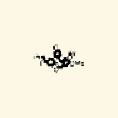 COc1cc2c(cc1OC(C)C)C(c1ccc(Cl)cc1)N(C1CCC(C(=O)CC(C)C)CC1)C(=O)C2